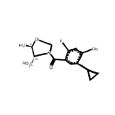 C[C@H]1OCN(C(=O)c2cc(C3CC3)c(O)cc2F)[C@@H]1C(=O)O